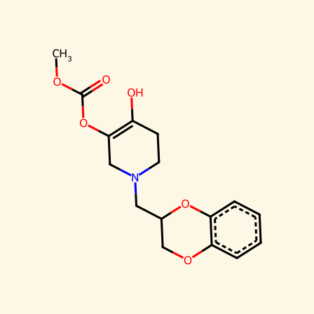 COC(=O)OC1=C(O)CCN(CC2COc3ccccc3O2)C1